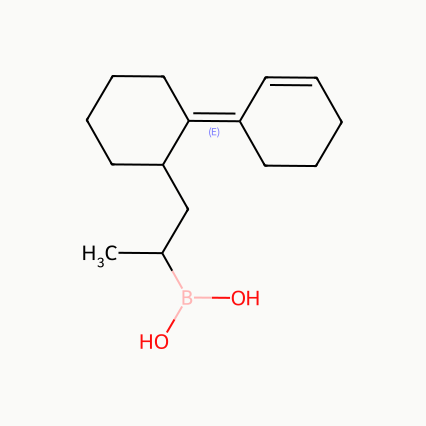 CC(CC1CCCC/C1=C1\C=CCCC1)B(O)O